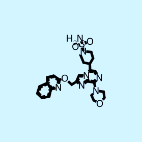 NS(=O)(=O)N1CCC(c2cnc(N3CCOCC3)c3nc(COc4ccc5ccccc5n4)cn23)CC1